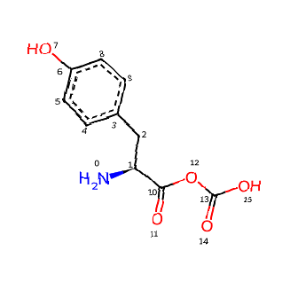 N[C@@H](Cc1ccc(O)cc1)C(=O)OC(=O)O